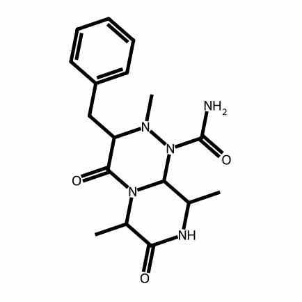 CC1NC(=O)C(C)N2C(=O)C(Cc3ccccc3)N(C)N(C(N)=O)C12